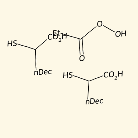 CCC(=O)OO.CCCCCCCCCCC(S)C(=O)O.CCCCCCCCCCC(S)C(=O)O